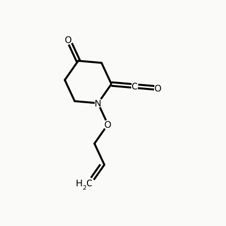 C=CCON1CCC(=O)CC1=C=O